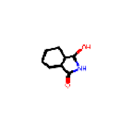 O=C1NC(O)C2CCCCC12